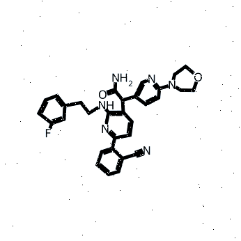 N#Cc1ccccc1-c1ccc(C(C(N)=O)c2ccc(N3CCOCC3)nc2)c(NCCc2cccc(F)c2)n1